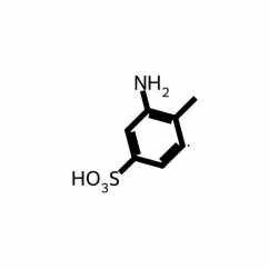 Cc1[c]cc(S(=O)(=O)O)cc1N